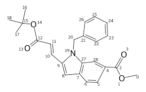 COC(=O)c1ccc2cc(C=CC(=O)OC(C)(C)C)n(Cc3ccccc3)c2c1